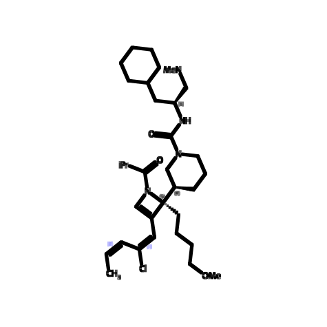 C/C=C\C(Cl)=C/C1=CN(C(=O)C(C)C)[C@@]1(CCCCOC)[C@@H]1CCCN(C(=O)N[C@H](CNC)CC2CCCCC2)C1